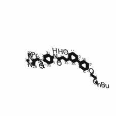 CCCCOCCOc1ccc(-c2ccc(O)c(/C=C/C(=O)Nc3ccc([S+]([O-])Cc4cncn4CCC)cc3)c2)cc1